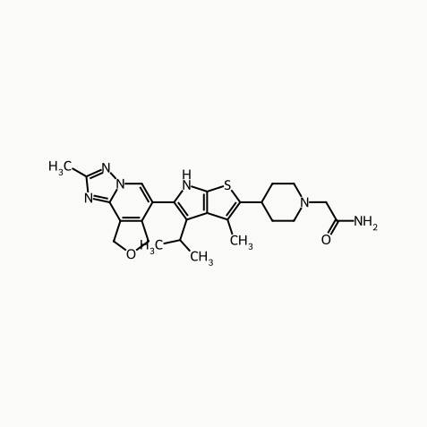 Cc1nc2c3c(c(-c4[nH]c5sc(C6CCN(CC(N)=O)CC6)c(C)c5c4C(C)C)cn2n1)COC3